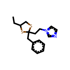 CCC1CSC(CCn2ccnc2)(Cc2ccccc2)S1